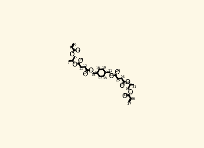 C=CC(=O)OCC(C)OC(=O)CCC(=O)OCC1CCC(COC(=O)CCC(=O)OC(C)COC(=O)C=C)CC1